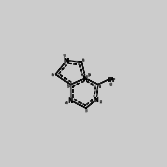 CC(C)c1ncnc2cncn12